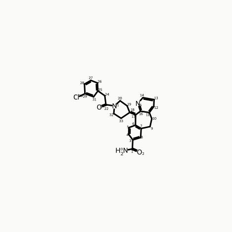 NC(=O)c1ccc2c(c1)CCc1cccnc1C2=C1CCN(C(=O)Cc2cccc(Cl)c2)CC1